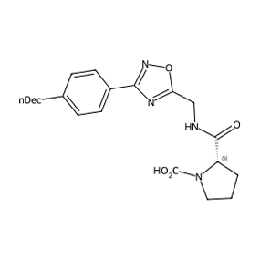 CCCCCCCCCCc1ccc(-c2noc(CNC(=O)[C@@H]3CCCN3C(=O)O)n2)cc1